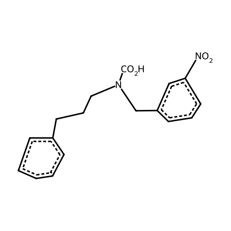 O=C(O)N(CCCc1ccccc1)Cc1cccc([N+](=O)[O-])c1